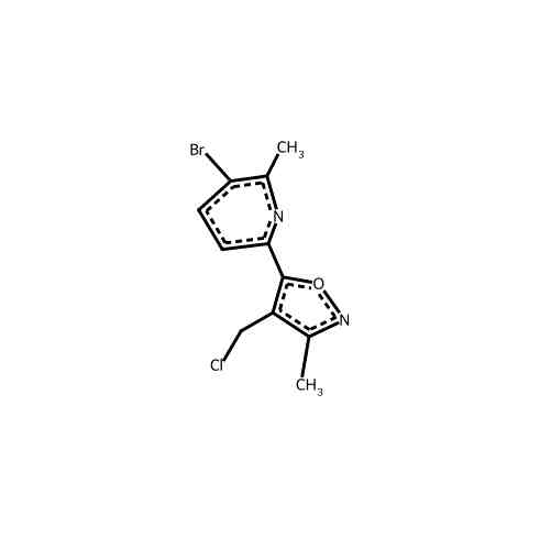 Cc1nc(-c2onc(C)c2CCl)ccc1Br